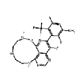 Cc1cc(N)c(F)c(-c2nc3c4c(ncnc4c2Cl)NCCNCC[C@H](C)O3)c1C(F)(F)F